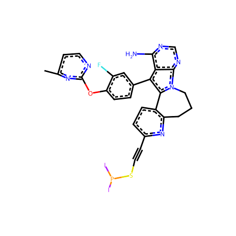 Cc1ccnc(Oc2ccc(-c3c4n(c5ncnc(N)c35)CCCc3nc(C#CSP(I)I)ccc3-4)cc2F)n1